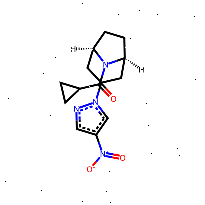 O=C(C1CC1)N1[C@@H]2CC[C@H]1CC(n1cc([N+](=O)[O-])cn1)C2